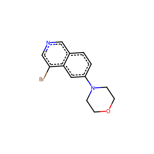 Brc1cncc2ccc(N3CCOCC3)cc12